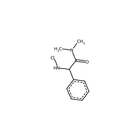 CN(C)C(=O)C(NCl)c1ccccc1